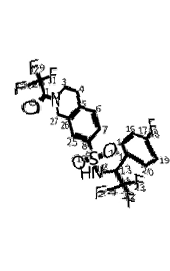 O=C(N1CCc2ccc(S(=O)(=O)NC(c3ccc(F)cc3)C(F)(F)F)cc2C1)C(F)(F)F